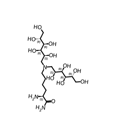 NC(=O)[C@@H](N)CCCCN(C[C@H](O)[C@@H](O)[C@H](O)[C@H](O)CO)C[C@H](O)[C@@H](O)[C@H](O)[C@H](O)CO